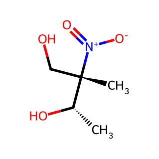 C[C@H](O)[C@](C)(CO)[N+](=O)[O-]